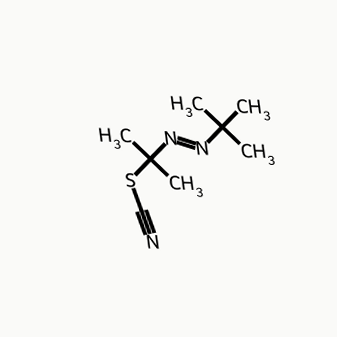 CC(C)(C)/N=N/C(C)(C)SC#N